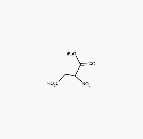 CC(C)COC(=O)C(CC(=O)O)[N+](=O)[O-]